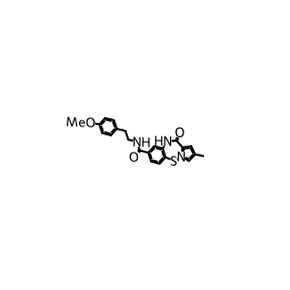 COc1ccc(CCNC(=O)c2ccc3c(c2)NC(=O)c2cc(C)cn2S3)cc1